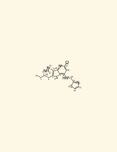 CC[C@H](N)Cc1sc2c(NCc3nccs3)cc(Cl)nc2c1Br